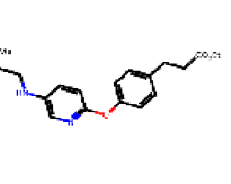 CCOC(=O)CCc1ccc(Oc2ccc(NCCOC)cn2)cc1